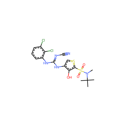 CN(C(C)(C)C)S(=O)(=O)c1scc(NC(=NC#N)Nc2cccc(Cl)c2Cl)c1O